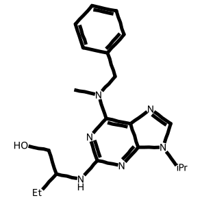 CCC(CO)Nc1nc(N(C)Cc2ccccc2)c2ncn(C(C)C)c2n1